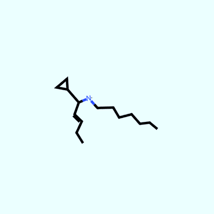 CCC=CC([N]CCCCCCC)C1CC1